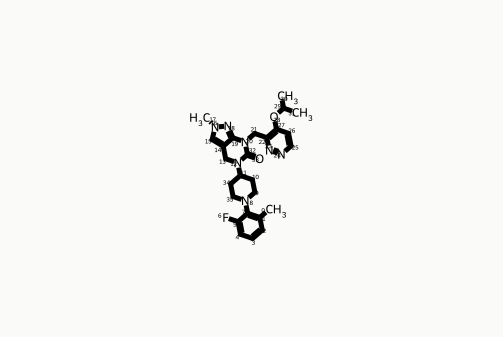 Cc1cccc(F)c1N1CCC(N2Cc3cn(C)nc3N(Cc3nnccc3OC(C)C)C2=O)CC1